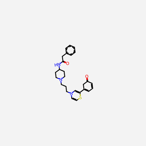 O=C1C=CC=C(C2=CN(CCCN3CCC(NC(=O)Cc4ccccc4)CC3)C=CS2)C1